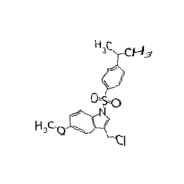 COc1ccc2c(c1)c(CCl)cn2S(=O)(=O)c1ccc(C(C)C)cc1